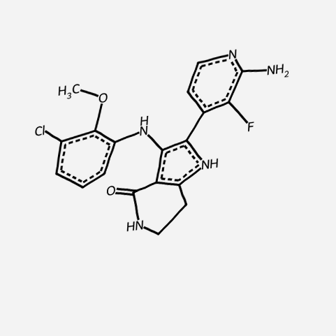 COc1c(Cl)cccc1Nc1c(-c2ccnc(N)c2F)[nH]c2c1C(=O)NCC2